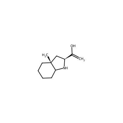 C=C(O)[C@@H]1C[C@@]2(C)CCCCC2N1